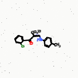 CCOC(=O)/C(=C/Nc1ccc(C)cc1)C(=O)c1ccccc1Cl